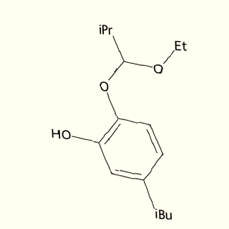 CCOC(Oc1ccc(C(C)CC)cc1O)C(C)C